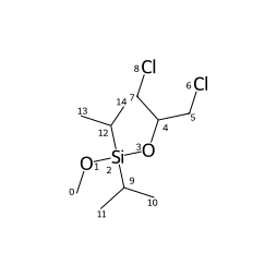 CO[Si](OC(CCl)CCl)(C(C)C)C(C)C